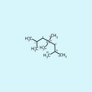 CC(C)C[N+](C)(C)CC(C)C